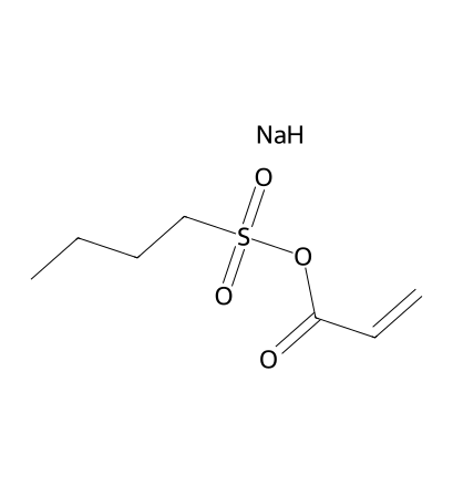 C=CC(=O)OS(=O)(=O)CCCC.[NaH]